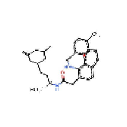 C=C1CC(C)CC(CC[C@H](NC(=O)Cc2ccc3ccccc3c2NCc2ccc(C(F)(F)F)cc2)C(=O)O)C1